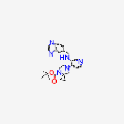 CC(C)(C)OC(=O)N1CCN(c2ccncc2NCc2ccc3nccnc3c2)CC12CC2